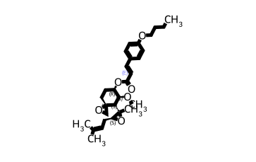 CCCCOc1ccc(/C=C/C(=O)O[C@@H]2CC[C@]3(CO3)[C@@H](C3(C)O[C@H]3CC=C(C)C)[C@@H]2OC)cc1